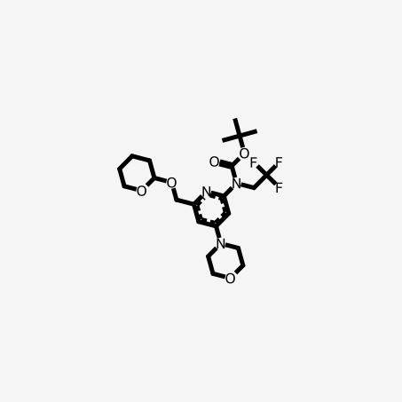 CC(C)(C)OC(=O)N(CC(F)(F)F)c1cc(N2CCOCC2)cc(COC2CCCCO2)n1